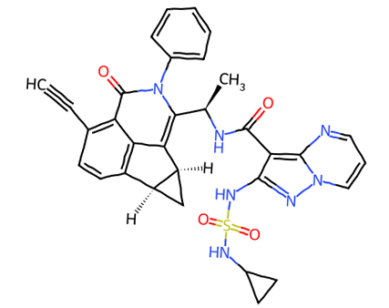 C#Cc1ccc2c3c(c([C@@H](C)NC(=O)c4c(NS(=O)(=O)NC5CC5)nn5cccnc45)n(-c4ccccc4)c(=O)c13)[C@H]1C[C@@H]21